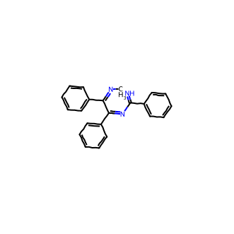 C/N=C(\C(=N/C(=N)c1ccccc1)c1ccccc1)c1ccccc1